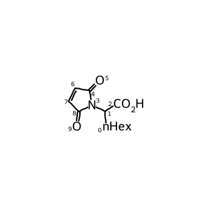 CCCCCCC(C(=O)O)N1C(=O)C=CC1=O